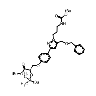 CC(C)(C)OC(=O)NCCCn1nc(-c2ccc(OC[C@@H](O[Si](C)(C)C(C)(C)C)C(=O)OC(C)(C)C)cc2)cc1COCc1ccccc1